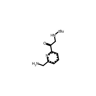 CC(C)(C)NCC(=O)c1cccc(CN)n1